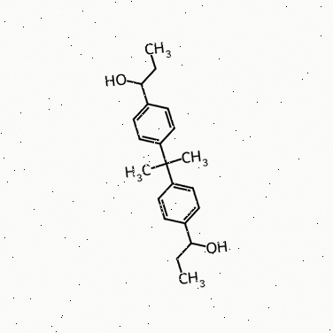 CCC(O)c1ccc(C(C)(C)c2ccc(C(O)CC)cc2)cc1